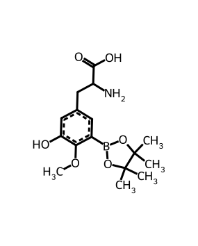 COc1c(O)cc(CC(N)C(=O)O)cc1B1OC(C)(C)C(C)(C)O1